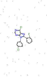 Fc1ccccc1-c1nc2c(Cl)ncnc2n1-c1ccc(Cl)cc1